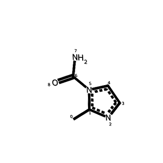 Cc1nccn1C(N)=O